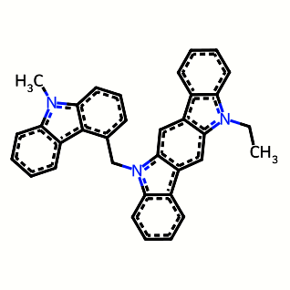 CCn1c2ccccc2c2cc3c(cc21)c1ccccc1n3Cc1cccc2c1c1ccccc1n2C